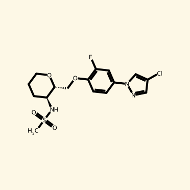 CS(=O)(=O)N[C@H]1CCCO[C@@H]1COc1ccc(-n2cc(Cl)cn2)cc1F